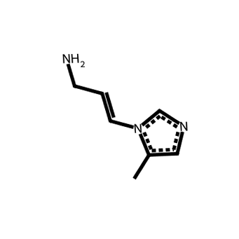 Cc1cncn1C=CCN